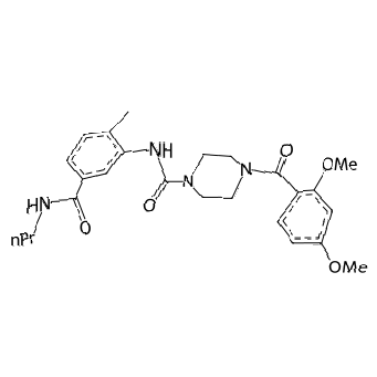 CCCNC(=O)c1ccc(C)c(NC(=O)N2CCN(C(=O)c3ccc(OC)cc3OC)CC2)c1